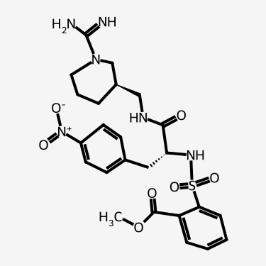 COC(=O)c1ccccc1S(=O)(=O)N[C@H](Cc1ccc([N+](=O)[O-])cc1)C(=O)NC[C@H]1CCCN(C(=N)N)C1